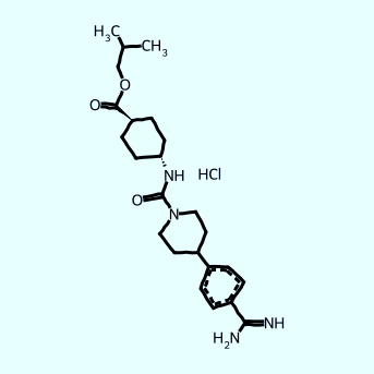 CC(C)COC(=O)[C@H]1CC[C@H](NC(=O)N2CCC(c3ccc(C(=N)N)cc3)CC2)CC1.Cl